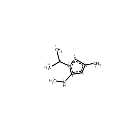 CNc1cc(C)nn1C(C)C